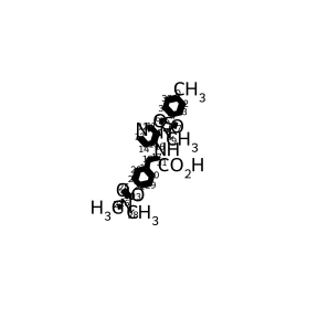 Cc1ccc(S(=O)(=O)N(C)c2cnccc2N[C@@H](Cc2ccc(OC(=O)N(C)C)cc2)C(=O)O)cc1